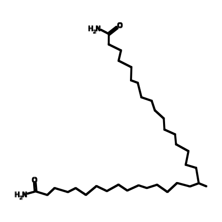 CC(CCCCCCCCCCCCCCCCC(N)=O)CCCCCCCCCCCCCCCC(N)=O